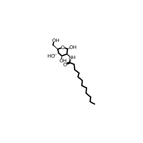 CCCCCCCCCCCC(=O)N[C@H]1[C@@H](O)[C@H](O)[C@@H](CO)O[C@@H]1O